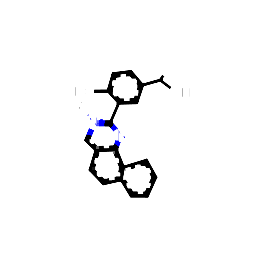 Cc1ccc(C(C)C)cc1-c1nc2c(ccc3ccccc32)c[n+]1C